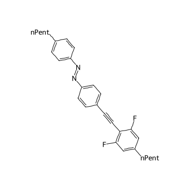 CCCCCc1ccc(N=Nc2ccc(C#Cc3c(F)cc(CCCCC)cc3F)cc2)cc1